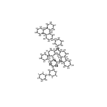 c1ccc(-c2cccc(-c3nc(-c4ccccc4)nc(-n4c5ccccc5c5ccc6c(c7ccccc7n6-c6cccc(-c7ccc8c9ccccc9c9ccccc9c8c7)c6)c54)n3)c2)cc1